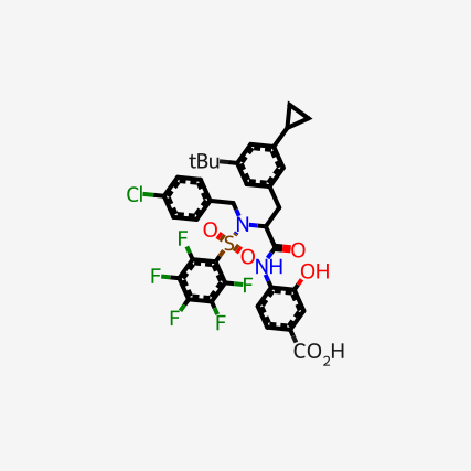 CC(C)(C)c1cc(CC(C(=O)Nc2ccc(C(=O)O)cc2O)N(Cc2ccc(Cl)cc2)S(=O)(=O)c2c(F)c(F)c(F)c(F)c2F)cc(C2CC2)c1